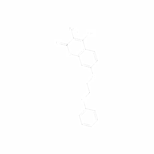 O=c1oc2cc(OCCOc3ccccc3)ccc2c(O)c1[N+](=O)[O-]